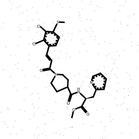 COC(=O)[C@H](Cc1ccccn1)NC(=O)C1CCN(C(=O)/C=C/c2ccc(SC)c(Cl)c2Cl)CC1